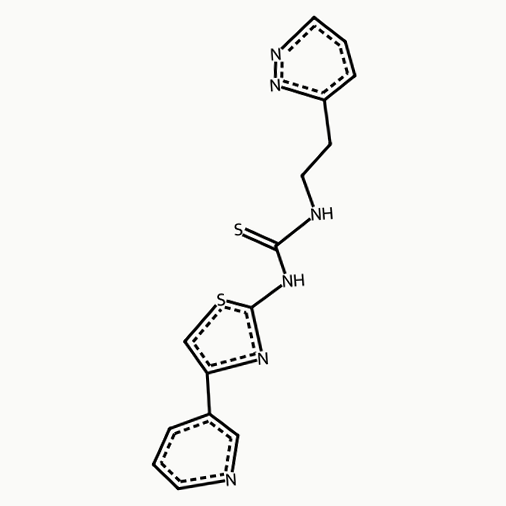 S=C(NCCc1cccnn1)Nc1nc(-c2cccnc2)cs1